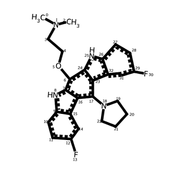 CN(C)CCOc1c2[nH]c3ccc(F)cc3c2c(N2CCCC2)c2c1[nH]c1ccc(F)cc12